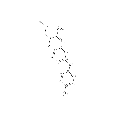 COC(=O)C(CCCl)Oc1ccc(Oc2ccc(C(F)(F)F)cc2)cc1